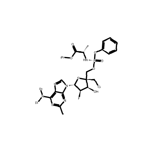 CCN(CC)c1nc(C)nc2c1ncn2[C@@H]1O[C@](CCl)(CO[P@@](=O)(N[C@@H](C)C(=O)OC(C)C)Oc2ccccc2)[C@@H](O)[C@H]1F